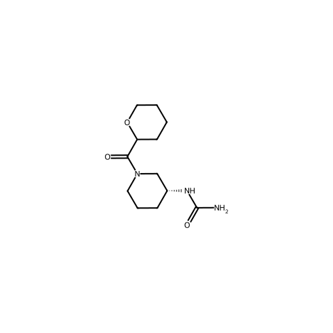 NC(=O)N[C@@H]1CCCN(C(=O)C2CCCCO2)C1